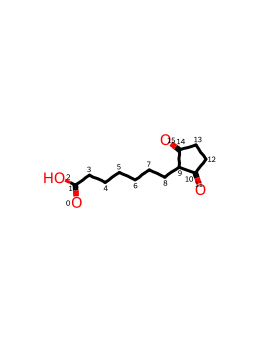 O=C(O)CCCCCCC1C(=O)CCC1=O